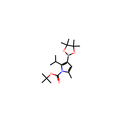 Cc1cc(B2OC(C)(C)C(C)(C)O2)c(C(C)C)n1C(=O)OC(C)(C)C